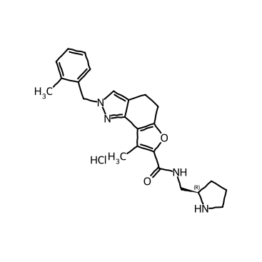 Cc1ccccc1Cn1cc2c(n1)-c1c(oc(C(=O)NC[C@H]3CCCN3)c1C)CC2.Cl